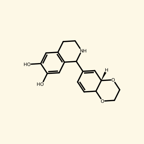 Oc1cc2c(cc1O)C(C1=C[C@@H]3OCCOC3C=C1)NCC2